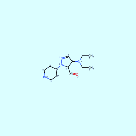 CCN(CC)C1C=NN(C2CCNCC2)C1C=O